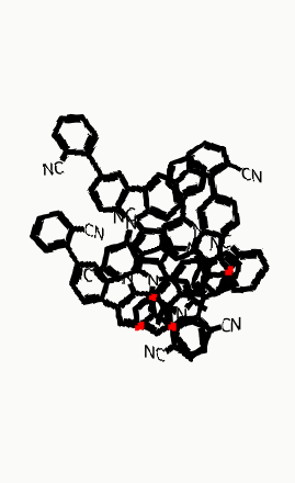 Cc1cc(-c2c(-n3c4cc(-c5ccccc5C#N)ccc4c4ccc(-c5ccccc5C#N)cc43)cc(C#N)cc2-n2c3cc(-c4ccccc4C#N)ccc3c3ccc(-c4c(C#N)cccc4-c4ccc5c(c4)c4cc(-c6ccccc6C#N)ccc4n5-c4cc(C#N)cc(-n5c6ccccc6c6cc(-c7ccccc7C#N)ccc65)c4-c4cc(-c5ccccc5)nc(-c5ccccc5)c4)cc32)cc(C)n1